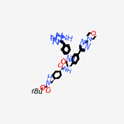 CC(C)(C)OC(=O)NC[C@H]1CC[C@H](C(=O)N[C@@H](Cc2ccc(-c3cnc(N4CCOCC4)nc3)cc2)C(=O)Nc2ccc(-c3nnn[nH]3)cc2)CC1